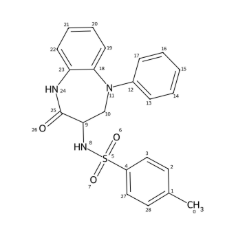 Cc1ccc(S(=O)(=O)NC2CN(c3ccccc3)c3ccccc3NC2=O)cc1